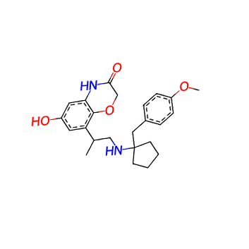 COc1ccc(CC2(NCC(C)c3cc(O)cc4c3OCC(=O)N4)CCCC2)cc1